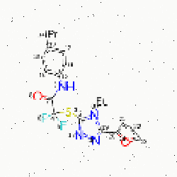 CCn1c(SC(F)(F)C(=O)Nc2ccc(C(C)C)cc2)nnc1-c1ccco1